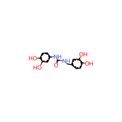 O=C(NCc1ccc(O)c(O)c1)Nc1ccc(O)c(O)c1